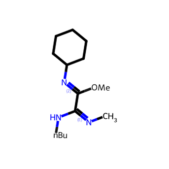 CCCCNC(=N/C)/C(=N/C1CCCCC1)OC